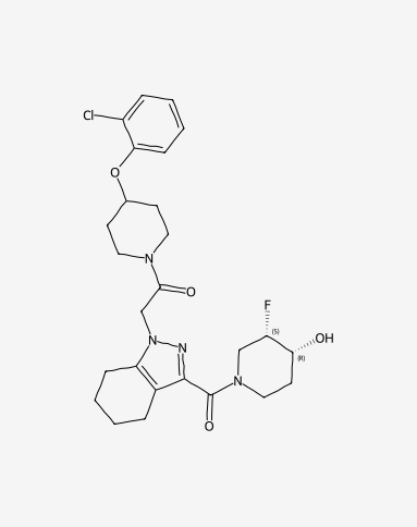 O=C(Cn1nc(C(=O)N2CC[C@@H](O)[C@@H](F)C2)c2c1CCCC2)N1CCC(Oc2ccccc2Cl)CC1